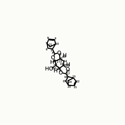 O[C@H]1[C@@H]2OC(C3CC4C=CC3C4)O[C@H]2C[C@H]2OC(C3CC4C=CC3C4)O[C@@H]12